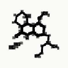 COc1cc(CN(C)CCCl)cc2[nH]c(=O)c3c(c12)NCCC3.Cl.Cl